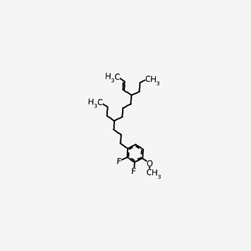 CC=CC(CCC)CCCC(CCC)CCCc1ccc(OC)c(F)c1F